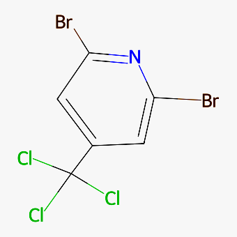 ClC(Cl)(Cl)c1cc(Br)nc(Br)c1